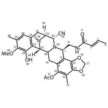 C/C=C/C(=O)NC[C@H]1c2c(c(OC(C)=O)c(C)c3c2OCO3)CC2[C@@H]3c4c(cc(C)c(OC)c4O)C[C@@H]([C@H](C#N)N21)N3C